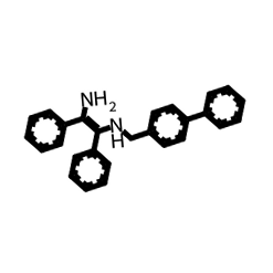 N/C(=C(\NCc1ccc(-c2ccccc2)cc1)c1ccccc1)c1ccccc1